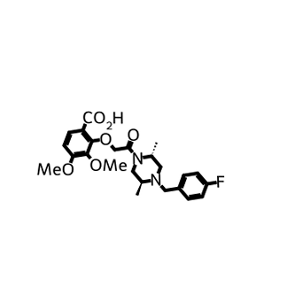 COc1ccc(C(=O)O)c(OCC(=O)N2C[C@H](C)N(Cc3ccc(F)cc3)C[C@H]2C)c1OC